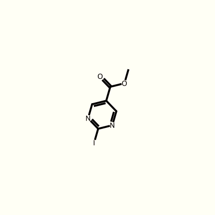 COC(=O)c1cnc(I)nc1